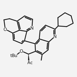 CC(=O)[C@@H](OC(C)(C)C)c1c(C)cc2nc(C3CCCCC3)ccc2c1-c1ccc2c3c(ccnc13)CCO2